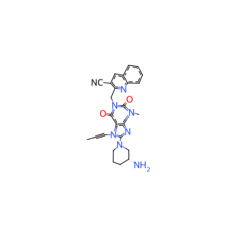 CC#Cn1c(N2CCC[C@@H](N)C2)nc2c1c(=O)n(Cc1nc3ccccc3cc1C#N)c(=O)n2C